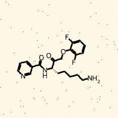 NCCCCC[C@H](NC(=O)c1cccnc1)C(=O)COc1c(F)cccc1F